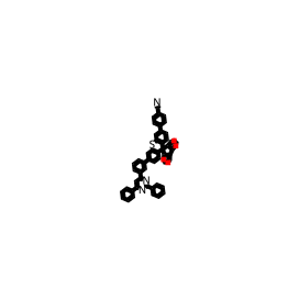 N#Cc1ccc(-c2ccc3c(c2)Sc2cc(-c4cccc(-c5cc(-c6ccccc6)nc(-c6ccccc6)n5)c4)ccc2C32c3ccccc3-c3ccccc32)cc1